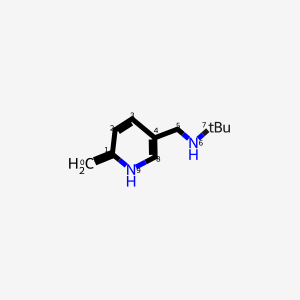 C=C1C=CC(CNC(C)(C)C)=CN1